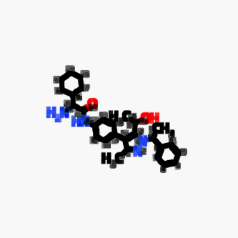 Cc1nn(C(C)c2ccccc2)c(C(C)O)c1-c1ccc(NC(=O)[C@@H](N)C2CCCCC2)cc1